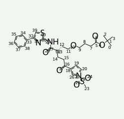 CC(C)(C)OC(=O)CCCOCC[C@H](CCC(=O)c1ccn(S(C)(=O)=O)c1)C(=O)Nc1nc(-c2ccccc2)cs1